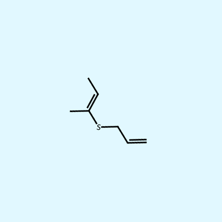 C=CCSC(C)=CC